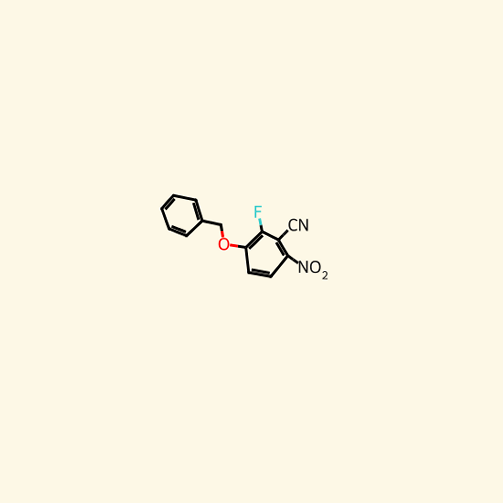 N#Cc1c([N+](=O)[O-])ccc(OCc2ccccc2)c1F